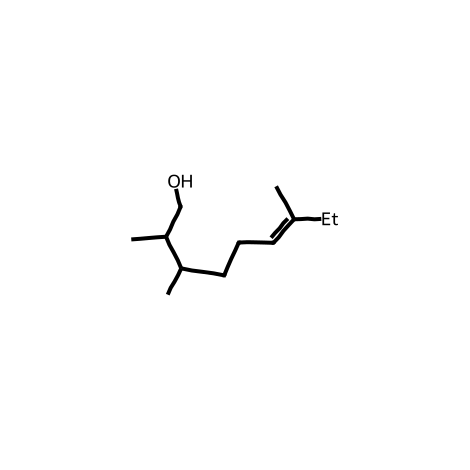 CCC(C)=CCCC(C)C(C)CO